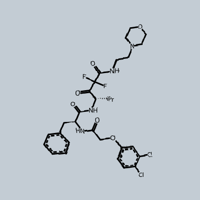 CC(C)[C@H](NC(=O)[C@H](Cc1ccccc1)NC(=O)COc1ccc(Cl)c(Cl)c1)C(=O)C(F)(F)C(=O)NCCN1CCOCC1